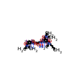 C=CCCCCN(CC=C)C(=O)c1c(I)c(NC(=O)NCC(O)COC(=O)Nc2c(I)cc(I)c(C(=O)N(CC=C)CC=C)c2I)c(I)c(C(=O)N(CC=C)CC=C)c1I